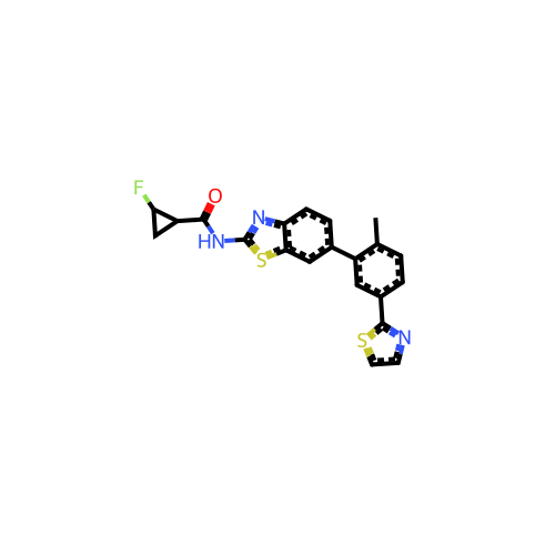 Cc1ccc(-c2nccs2)cc1-c1ccc2nc(NC(=O)C3CC3F)sc2c1